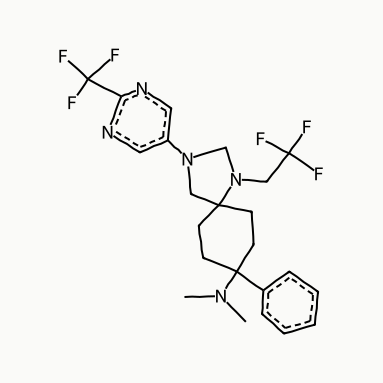 CN(C)C1(c2ccccc2)CCC2(CC1)CN(c1cnc(C(F)(F)F)nc1)CN2CC(F)(F)F